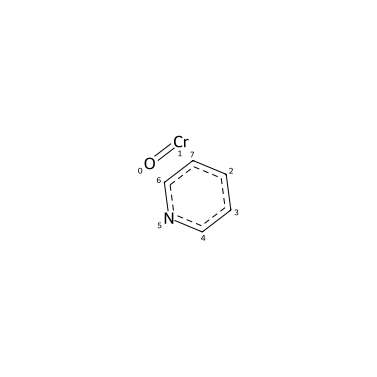 [O]=[Cr].c1ccncc1